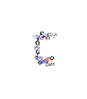 COC(=O)N[C@H](COCc1ccccc1)C(=O)N1CCC[C@H]1c1ncc(-c2ccc3nc(-c4ccc(-c5c[nH]c([C@@H]6CCCN6C(=O)[C@H](C(C)C)N(C)C(=O)O)n5)cc4)cnc3c2)[nH]1